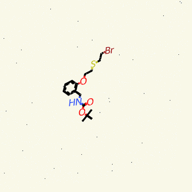 CC(C)(C)OC(=O)NCc1ccccc1OCCSCCBr